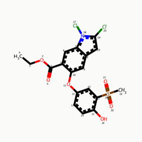 CCOC(=O)c1cc2c(cc1Oc1ccc(O)c(S(C)(=O)=O)c1)cc(Cl)n2Cl